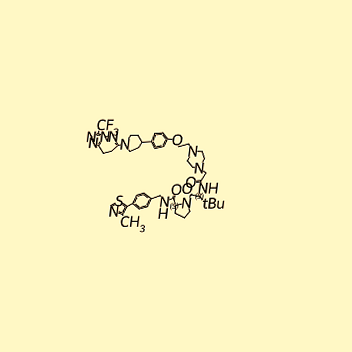 Cc1ncsc1-c1ccc(CNC(=O)[C@@H]2CCCN2C(=O)[C@@H](NC(=O)CN2CCN(CCOc3ccc(C4CCN(C5=Nn6c(nnc6C(F)(F)F)CC5)CC4)cc3)CC2)C(C)(C)C)cc1